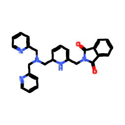 O=C1c2ccccc2C(=O)N1CC1=CC=CC(CN(Cc2ccccn2)Cc2ccccn2)N1